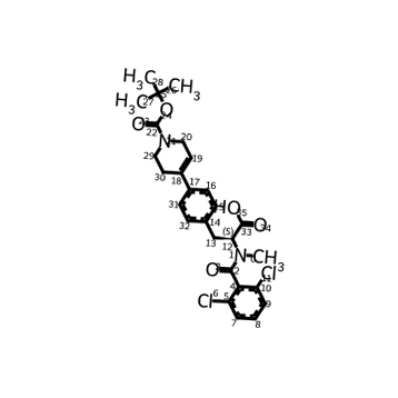 CN(C(=O)c1c(Cl)cccc1Cl)[C@@H](Cc1ccc(C2=CCN(C(=O)OC(C)(C)C)CC2)cc1)C(=O)O